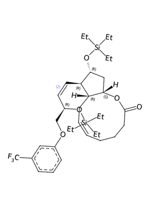 CC[Si](CC)(CC)O[C@H](/C=C\[C@@H]1[C@H]2CC=CCCCC(=O)O[C@H]2C[C@H]1O[Si](CC)(CC)CC)COc1cccc(C(F)(F)F)c1